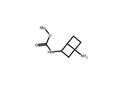 CC(C)(C)OC(=O)NC1CC2(N)CCC12